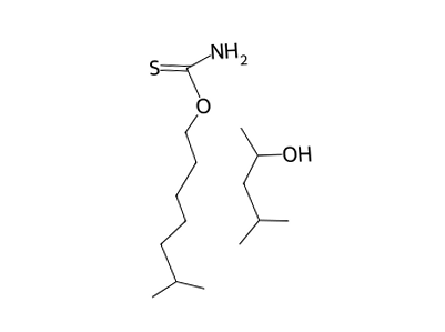 CC(C)CC(C)O.CC(C)CCCCCOC(N)=S